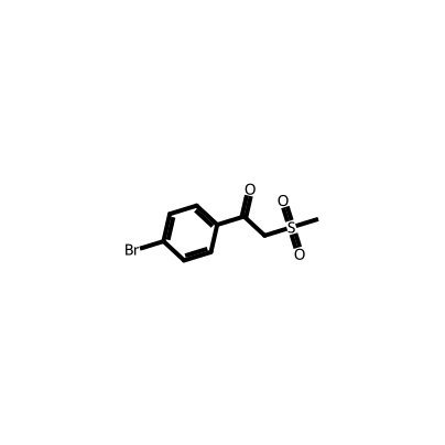 CS(=O)(=O)CC(=O)c1ccc(Br)cc1